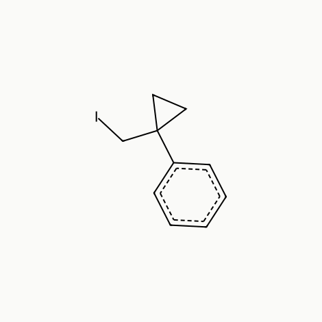 ICC1(c2ccccc2)CC1